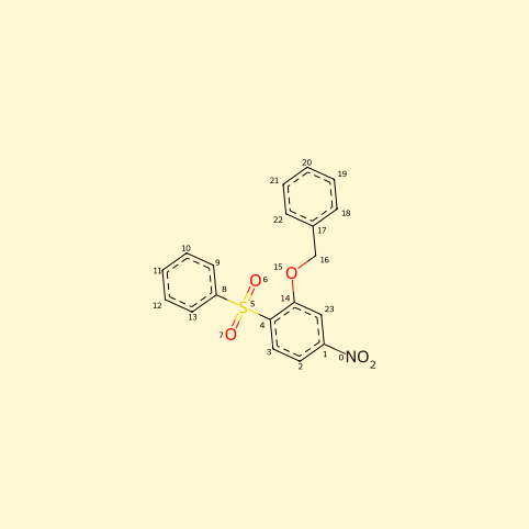 O=[N+]([O-])c1ccc(S(=O)(=O)c2ccccc2)c(OCc2ccccc2)c1